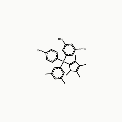 CCCCc1ccc([Si](C2=C(C)C(C)=C(C)C2C)(c2cc(C)cc(C)c2)c2cc(C(C)(C)C)cc(C(C)(C)C)c2)cc1